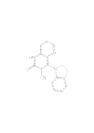 N#Cc1c(N2CCc3ccccc32)c2ncccc2[nH]c1=O